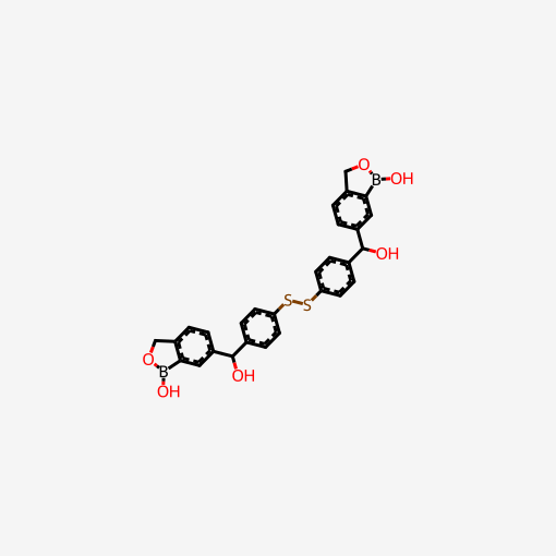 OB1OCc2ccc(C(O)c3ccc(SSc4ccc(C(O)c5ccc6c(c5)B(O)OC6)cc4)cc3)cc21